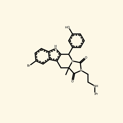 CC(C)NCCN1C(=O)N2C(c3cccc(O)c3)c3[nH]c4ccc(Br)cc4c3CC2(C)C1=O